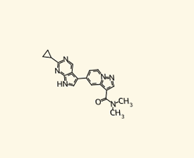 CN(C)C(=O)c1cnn2ccc(-c3c[nH]c4nc(C5CC5)ncc34)cc12